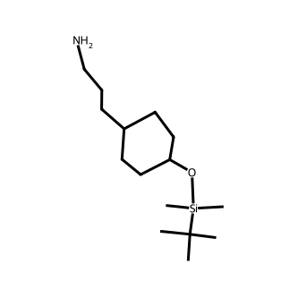 CC(C)(C)[Si](C)(C)OC1CCC(CCCN)CC1